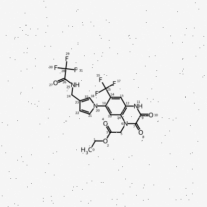 CCOC(=O)Cn1c(=O)c(=O)[nH]c2cc(C(F)(F)F)c(-n3ccc(CNC(=O)C(F)(F)F)c3)cc21